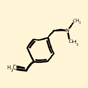 C=Cc1ccc(CN(C)C)cc1